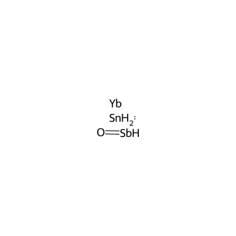 [O]=[SbH].[SnH2].[Yb]